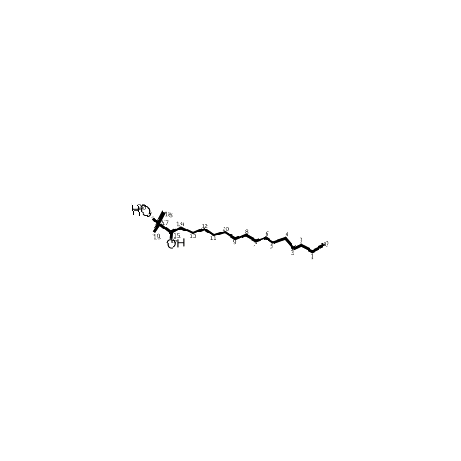 CCCCCCCCCCCCCCCC(O)C(C)(C)O